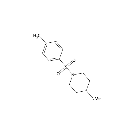 CNC1CCN(S(=O)(=O)c2ccc(C)cc2)CC1